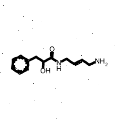 NC/C=C/CNC(=O)C(O)Cc1ccccc1